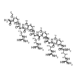 CCOc1ccc(NC(=O)[C@@H](CCCNC(=N)N)NC(=O)c2cc(NC(=O)[C@@H](CCCNC(=N)N)NC(=O)c3cc(NC(=O)[C@@H](CCCNC(=N)N)NC(=O)c4cc(NC(=O)[C@H](N)CCCNC(=N)N)ccc4OC)ccc3OC)ccc2OC)cc1C(N)=O